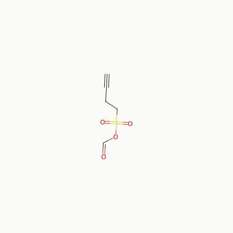 C#CCCS(=O)(=O)OC=O